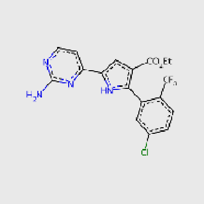 CCOC(=O)c1cc(-c2ccnc(N)n2)[nH]c1-c1cc(Cl)ccc1C(F)(F)F